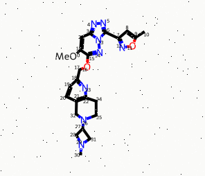 COc1cc2nnc(-c3cc(C)on3)n2nc1OCc1ccc2c(n1)CCN(C1CN(C)C1)C2